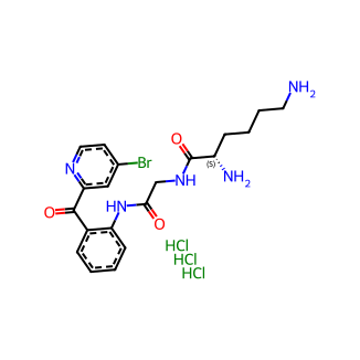 Cl.Cl.Cl.NCCCC[C@H](N)C(=O)NCC(=O)Nc1ccccc1C(=O)c1cc(Br)ccn1